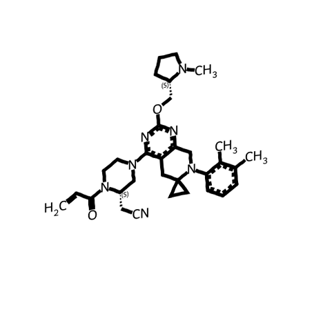 C=CC(=O)N1CCN(c2nc(OC[C@@H]3CCCN3C)nc3c2CC2(CC2)N(c2cccc(C)c2C)C3)C[C@@H]1CC#N